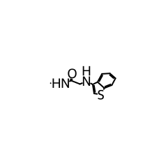 [NH]C(=O)CNc1csc2ccccc12